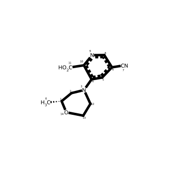 C[C@@H]1CN(c2cc(C#N)cnc2C(=O)O)CCO1